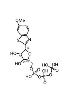 COc1ccc2nc([C@@H]3O[C@H](COP(=O)(O)OP(=O)(O)OP(=O)(O)O)[C@@H](O)[C@H]3O)sc2c1